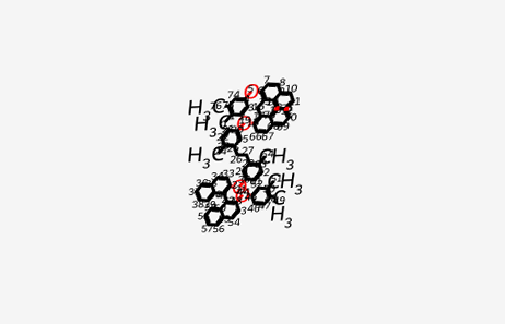 Cc1ccc(Oc2ccc3ccccc3c2Cc2c(Oc3ccc(C)c(CCc4cc(Oc5ccc6ccccc6c5-c5c(Oc6ccc(C)c(C)c6)ccc6ccccc56)ccc4C)c3)ccc3ccccc23)cc1C